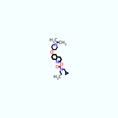 CCCN(CC1CC1)C(=O)Oc1ccc2cc(OC3CCN(C(C)C)CC3)ccc2n1